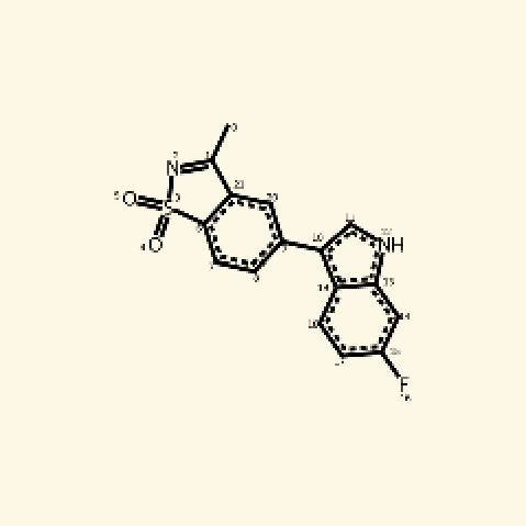 CC1=NS(=O)(=O)c2ccc(-c3c[nH]c4cc(F)ccc34)cc21